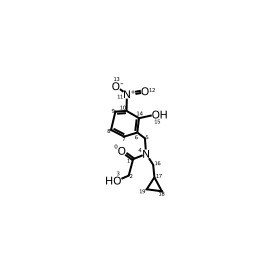 O=C(CO)N(Cc1cccc([N+](=O)[O-])c1O)CC1CC1